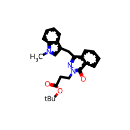 Cn1cc(Cc2nn(CCC(=O)OC(C)(C)C)c(=O)c3ccccc23)c2ccccc21